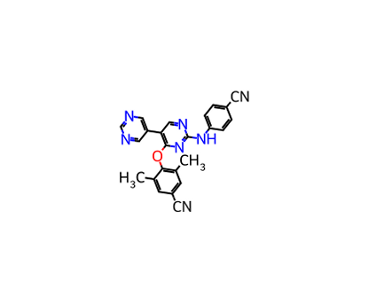 Cc1cc(C#N)cc(C)c1Oc1nc(Nc2ccc(C#N)cc2)ncc1-c1cncnc1